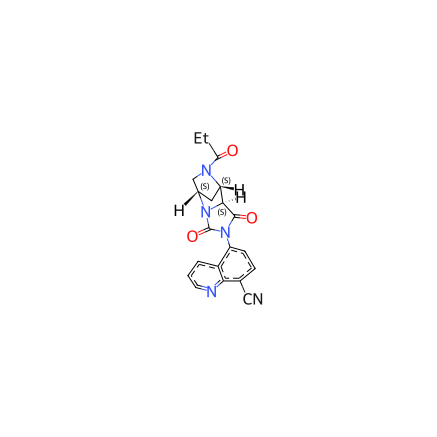 CCC(=O)N1C[C@@H]2C[C@H]1[C@H]1C(=O)N(c3ccc(C#N)c4ncccc34)C(=O)N21